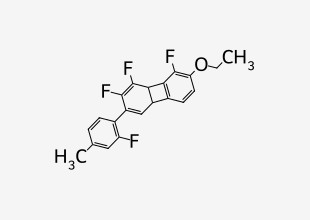 CCOc1ccc2c(c1F)C1C(F)=C(F)C(c3ccc(C)cc3F)=CC21